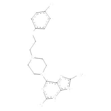 CSc1nc2c(N3CCN(CCOc4ccc(Cl)cc4)CC3)nc(N)nc2[nH]1